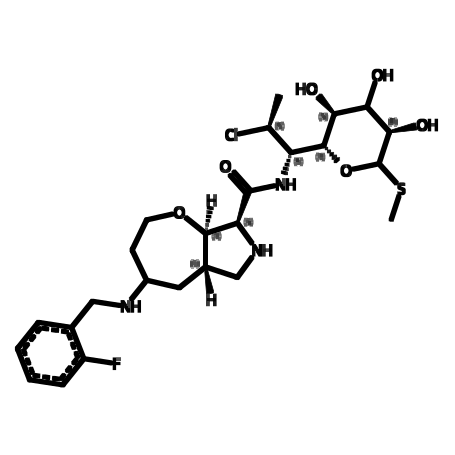 CSC1O[C@H]([C@H](NC(=O)[C@H]2NC[C@@H]3CC(NCc4ccccc4F)CCO[C@H]32)[C@H](C)Cl)[C@@H](O)C(O)[C@H]1O